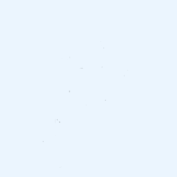 C#CCOc1c(OC)cc(C(=O)N[C@@H](C)C(C)C)cc1OC